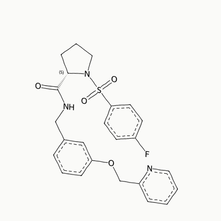 O=C(NCc1cccc(OCc2ccccn2)c1)[C@@H]1CCCN1S(=O)(=O)c1ccc(F)cc1